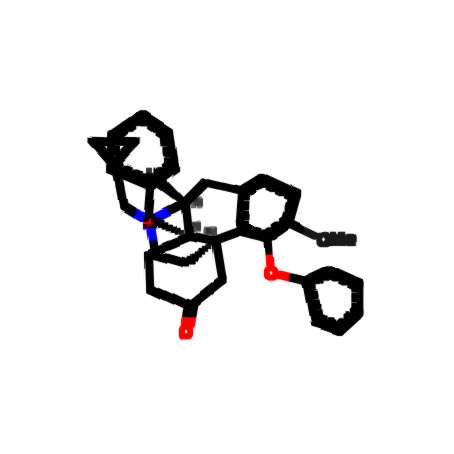 COc1ccc2c(c1Oc1ccccc1)[C@]13CCN(CC4CC4)[C@H](C2)[C@]1(Cc1ccccc1)CCC(=O)C3